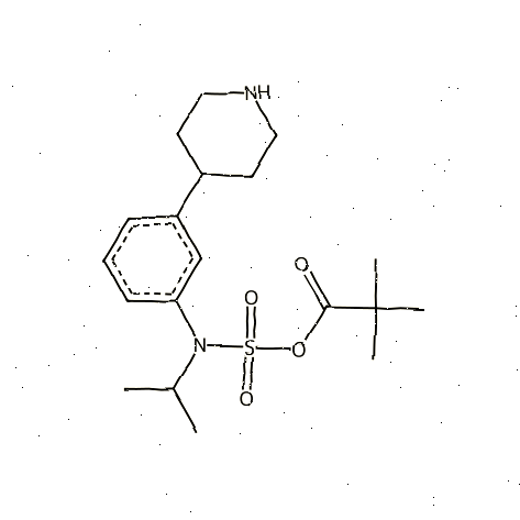 CC(C)N(c1cccc(C2CCNCC2)c1)S(=O)(=O)OC(=O)C(C)(C)C